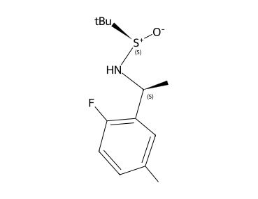 Cc1ccc(F)c([C@H](C)N[S@+]([O-])C(C)(C)C)c1